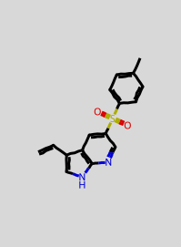 C=Cc1c[nH]c2ncc(S(=O)(=O)c3ccc(C)cc3)cc12